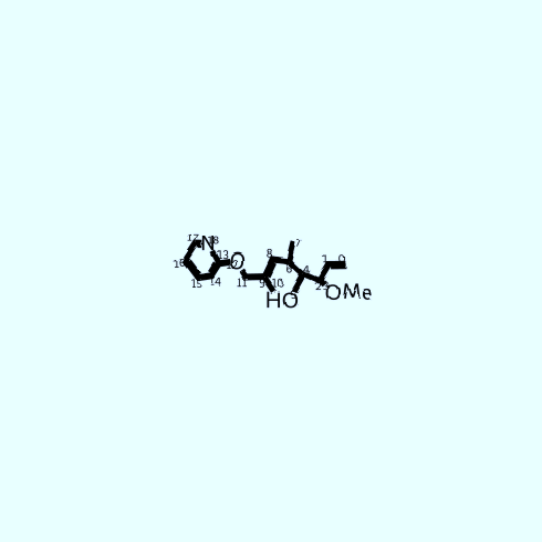 C=CC(OC)C(O)C(C)C=C(C)COc1ccccn1